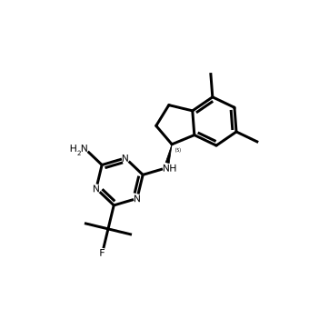 Cc1cc(C)c2c(c1)[C@@H](Nc1nc(N)nc(C(C)(C)F)n1)CC2